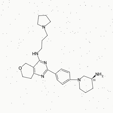 N[C@H]1CCCN(c2ccc(-c3nc4c(c(NCCCN5CCCC5)n3)COCC4)cc2)C1